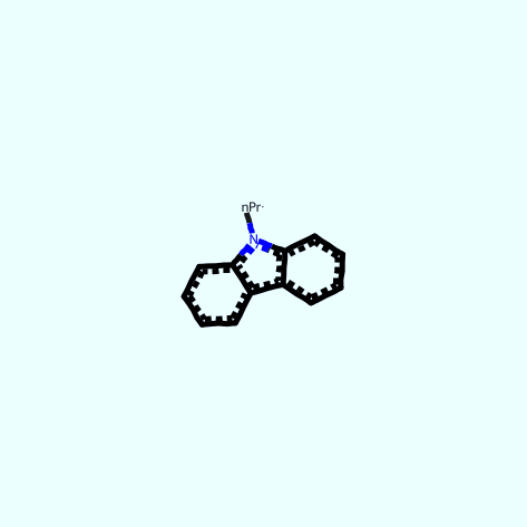 CC[CH]n1c2ccccc2c2ccccc21